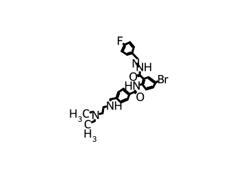 CCN(CC)CCNCc1ccc(C(=O)Nc2ccc(Br)cc2C(=O)NN=Cc2ccc(F)cc2)cc1